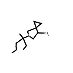 CCCC(C)(CC)N1CC(N)C2(CC2)C1